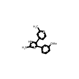 COc1cccc(-c2nc(N)[nH]c2-c2ccnc(C)c2)c1